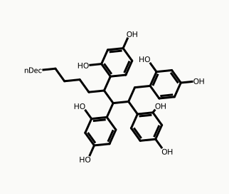 CCCCCCCCCCCCCCC(c1ccc(O)cc1O)C(c1ccc(O)cc1O)C(Cc1ccc(O)cc1O)c1ccc(O)cc1O